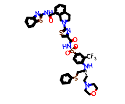 O=C(NS(=O)(=O)c1ccc(N[C@H](CCN2CCOCC2)CSc2ccccc2)c(C(F)(F)F)c1)c1csc(N2CCc3cccc(C(=O)Nc4nc5ccccc5s4)c3C2)n1